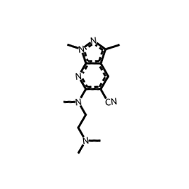 Cc1nn(C)c2nc(N(C)CCN(C)C)c(C#N)cc12